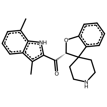 Cc1c(C(=O)[C@@H]2Oc3ccccc3C23CCNCC3)[nH]c2c(C)cccc12